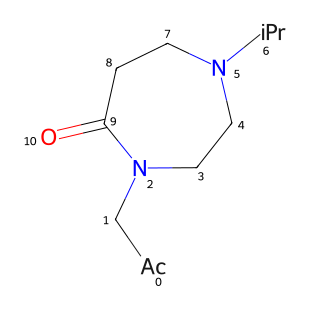 CC(=O)CN1CCN(C(C)C)CCC1=O